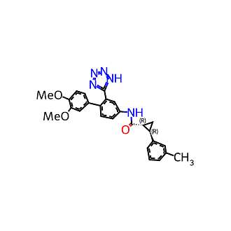 COc1ccc(-c2ccc(NC(=O)[C@@H]3C[C@H]3c3cccc(C)c3)cc2-c2nnn[nH]2)cc1OC